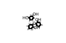 Oc1cccc(O)c1.Oc1ccccc1Oc1ccccc1O